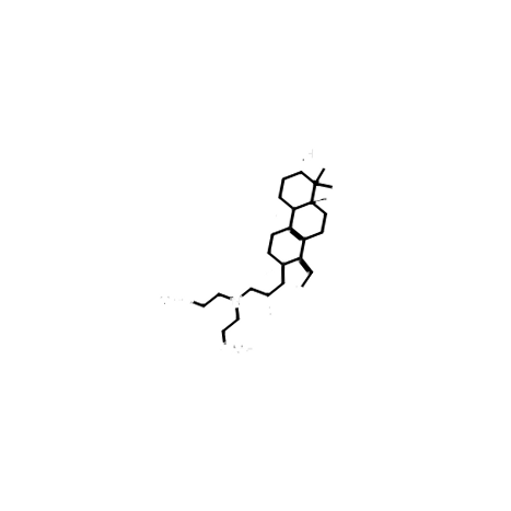 COCCN(CCOC)C[C@@H](C)[C@H]1CC=C2C3=C(CC[C@@]21C)[C@@]1(C)CC[C@H](O)C(C)(C)[C@@H]1CC3